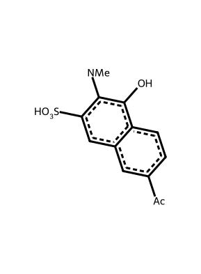 CNc1c(S(=O)(=O)O)cc2cc(C(C)=O)ccc2c1O